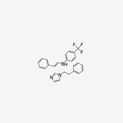 FC(F)(F)c1ccc(BC=Cc2ccccc2)cc1.c1ccc(CCn2ccnc2)cc1